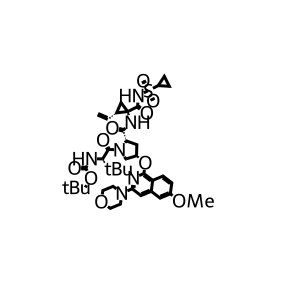 C=C[C@@H]1C[C@]1(NC(=O)[C@@H]1C[C@@H](Oc2nc(N3CCOCC3)cc3cc(OC)ccc23)CN1C(=O)[C@@H](NC(=O)OC(C)(C)C)C(C)(C)C)C(=O)NS(=O)(=O)C1CC1